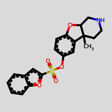 CC12CCNCC1Oc1ccc(OS(=O)(=O)c3cc4ccccc4o3)cc12